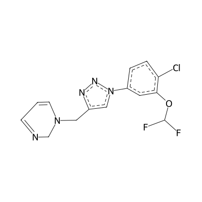 FC(F)Oc1cc(-n2cc(CN3C=CC=NC3)nn2)ccc1Cl